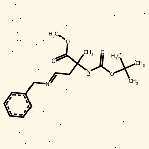 COC(=O)C(C)(C/C=N/Cc1ccccc1)NC(=O)OC(C)(C)C